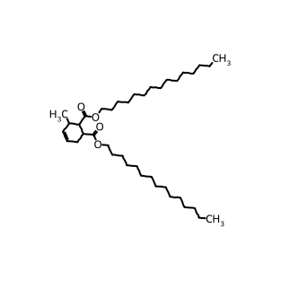 CCCCCCCCCCCCCCCOC(=O)C1CC=CC(C)C1C(=O)OCCCCCCCCCCCCCCC